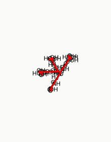 COP(=O)(O)OCCCCCCNC(=O)CCCCCCCCCCCNC(=O)[C@H](CCCCNC(=O)CCOCCOCCOCCOC1OC(CO)C(O)C(O)C1NC(C)=O)NC(=O)[C@H](CCCCNC(=O)CCOCCOCCOCCOC1OC(CO)C(O)C(O)C1NC(C)=O)NC(=O)CCOCCOCCOCCOC1OC(CO)C(O)C(O)C1NC(C)=O